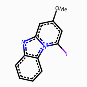 COc1cc(I)n2c(c1)nc1ccccc12